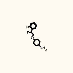 NC1CCC(OCC(F)c2ccccc2F)CC1